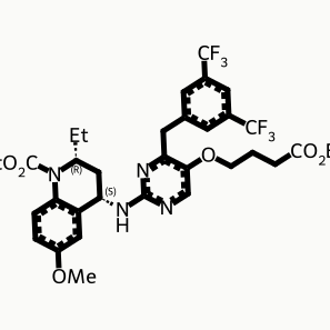 CCOC(=O)CCCOc1cnc(N[C@H]2C[C@@H](CC)N(C(=O)OCC)c3ccc(OC)cc32)nc1Cc1cc(C(F)(F)F)cc(C(F)(F)F)c1